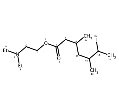 CCN(CC)CCOC(=O)CC(C)CC(C)C(C)I